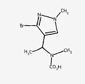 CC(c1cn(C)nc1Br)N(C)C(=O)O